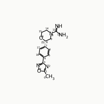 Cc1nc(-c2ccc([C@H]3CN(C(=N)N)CCO3)cc2)no1